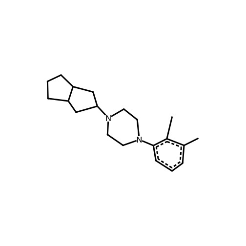 Cc1cccc(N2CCN(C3CC4CCCC4C3)CC2)c1C